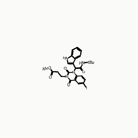 COC(=O)CCn1c(=O)c2cc(I)ccc2n(C(C(=O)NC(C)(C)C)c2c[nH]c3ccccc23)c1=O